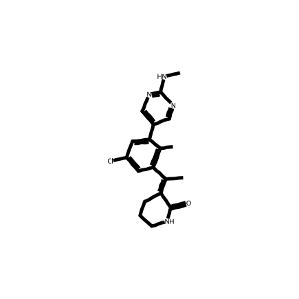 CNc1ncc(-c2cc(Cl)cc(/C(C)=C3\CCCNC3=O)c2C)cn1